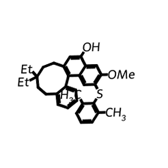 CCC1(CC)CCc2ccccc2-c2c(cc(O)c3cc(OC)c(Sc4c(C)cccc4C)cc23)CC1